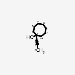 CC#CC1(O)CCCCCCC1